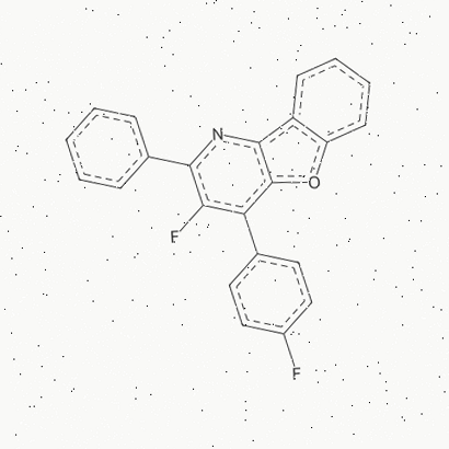 Fc1ccc(-c2c(F)c(-c3ccccc3)nc3c2oc2ccccc23)cc1